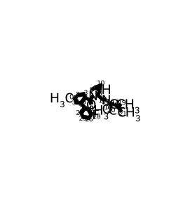 Cc1ccc(C(=O)N2CC3CC3C2CNC(=O)OC(C)(C)C)c(-c2cccc(F)c2)c1